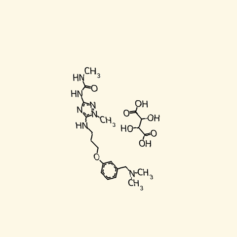 CNC(=O)Nc1nc(NCCCOc2cccc(CN(C)C)c2)n(C)n1.O=C(O)C(O)C(O)C(=O)O